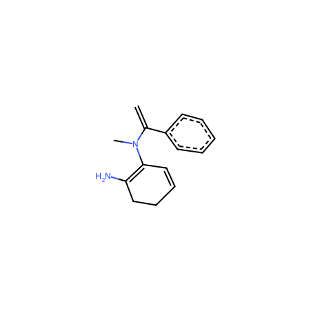 C=C(c1ccccc1)N(C)C1=C(N)CCC=C1